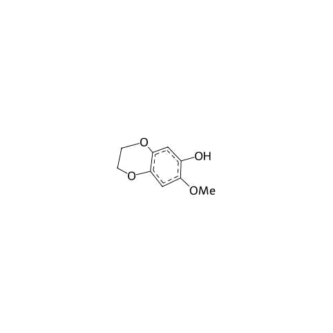 COc1cc2c(cc1O)OCCO2